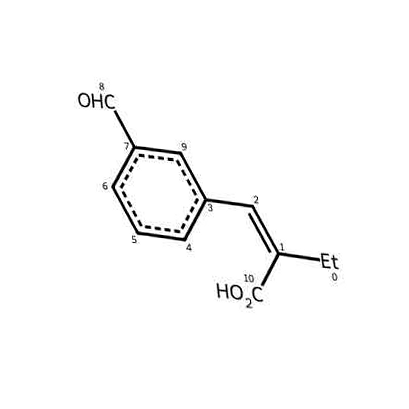 CCC(=Cc1cccc(C=O)c1)C(=O)O